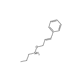 CCC[SiH2]OCC=Cc1ccccc1